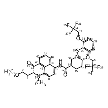 COCCCN(C)c1ccc(NC(=O)C2CCCN(Sc3c(OCC(F)(F)F)ncnc3OCC(F)(F)F)C2)c2cccc(C=O)c12